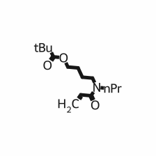 C=CC(=O)N(CCC)CCCCOC(=O)C(C)(C)C